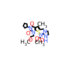 COCCn1c(=O)n(C2CCCC2)c(=O)c2c(C)c(CN3CCNC3=NC(=O)OC)sc21